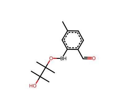 Cc1ccc(C=O)c(BOC(C)(C)C(C)(C)O)c1